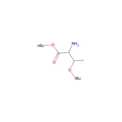 CCCCOC(=O)C(N)C(C)OC(C)(C)C